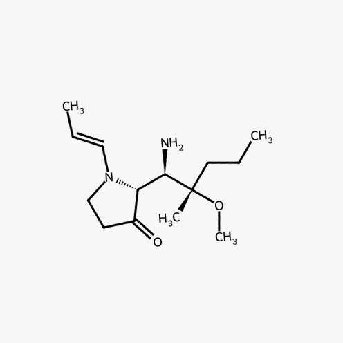 CC=CN1CCC(=O)[C@H]1[C@@H](N)[C@](C)(CCC)OC